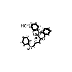 CN(CCCC1Oc2ccccc2N(c2ccccc2)S1(=O)=O)C1CCCCC1.Cl